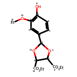 CCOC(=O)C1OC(c2ccc(O)c(OCC)c2)OC1C(=O)OCC